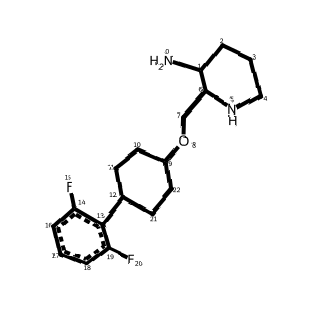 NC1CCCNC1COC1CCC(c2c(F)cccc2F)CC1